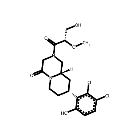 CO[C@@H](CO)C(=O)N1CC(=O)N2CC[C@@H](c3c(O)ccc(Cl)c3Cl)C[C@H]2C1